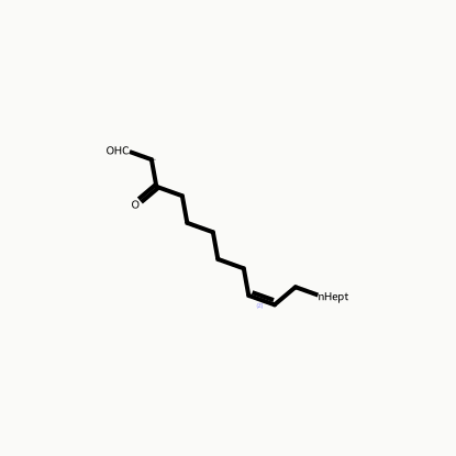 CCCCCCCC/C=C\CCCCCC(=O)[CH]C=O